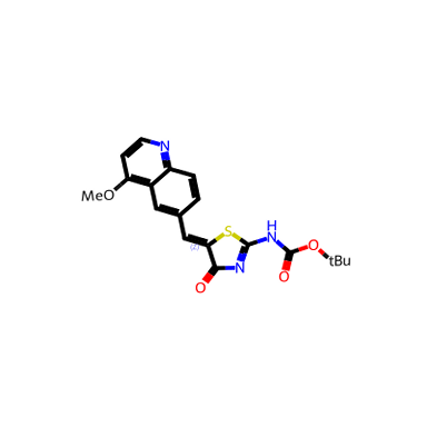 COc1ccnc2ccc(/C=C3\SC(NC(=O)OC(C)(C)C)=NC3=O)cc12